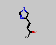 CC(C)C(=O)/C=C/C1CNC=N1